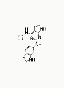 c1cc2c(NC3CCC3)nc(Nc3ccc4cn[nH]c4c3)nc2[nH]1